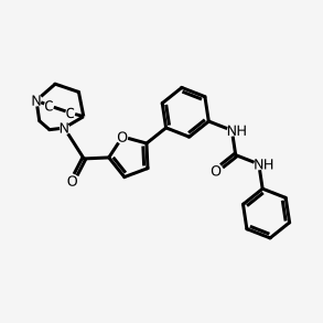 O=C(Nc1ccccc1)Nc1cccc(-c2ccc(C(=O)N3CCN4CCC3CC4)o2)c1